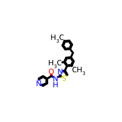 Cc1ccc(Cc2cc(C)c(-c3csc(NC(=O)c4ccncc4)n3)c(C)c2)cc1